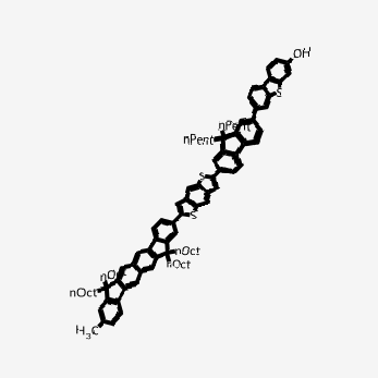 CCCCCCCCC1(CCCCCCCC)c2cc(C)ccc2-c2cc3cc4c(cc3cc21)-c1ccc(-c2cc3cc5sc(-c6ccc7c(c6)C(CCCCC)(CCCCC)c6cc(-c8ccc9c(c8)sc8cc(O)ccc89)ccc6-7)cc5cc3s2)cc1C4(CCCCCCCC)CCCCCCCC